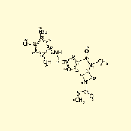 C=CC(=O)N1CC(N(C)C(=O)c2coc(CNc3cc(C(C)(C)C)c(Cl)cc3O)c2)C1